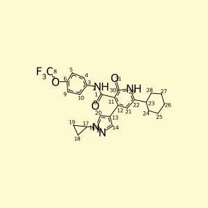 O=C(Nc1ccc(OC(F)(F)F)cc1)c1c(-c2cnn(C3CC3)c2)cc(C2CCCCC2)[nH]c1=O